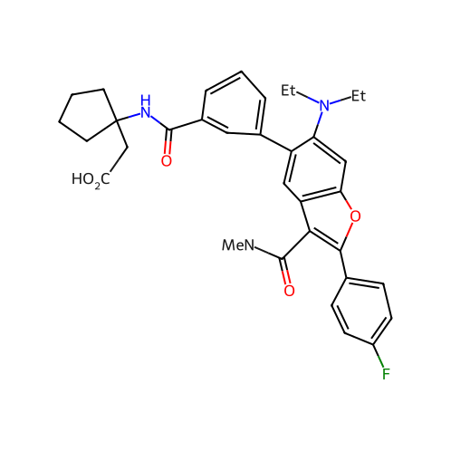 CCN(CC)c1cc2oc(-c3ccc(F)cc3)c(C(=O)NC)c2cc1-c1cccc(C(=O)NC2(CC(=O)O)CCCC2)c1